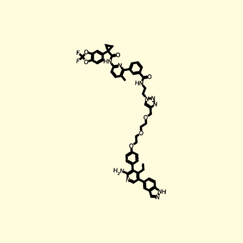 CCc1c(-c2ccc3[nH]ncc3c2)cnc(N)c1-c1ccc(OCCOCCOCc2cn(CCNC(=O)c3cccc(-c4nc(NC(=O)C5(c6ccc7c(c6)OC(F)(F)O7)CC5)ccc4C)c3)nn2)cc1